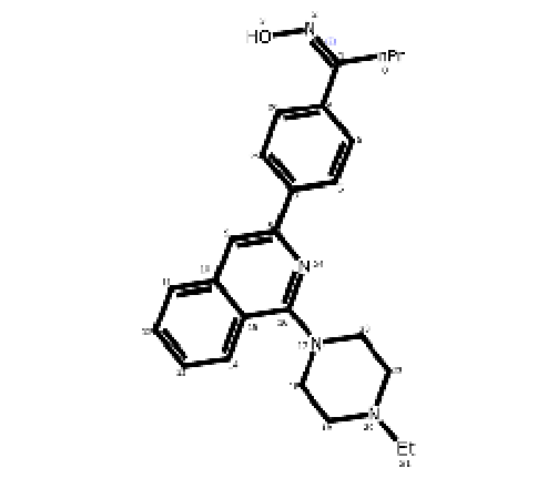 CCC/C(=N/O)c1ccc(-c2cc3ccccc3c(N3CCN(CC)CC3)n2)cc1